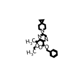 C=C(OCC)c1nc(N2CCC3(CC2)CC3)cnc1C(=O)OCc1ccccc1